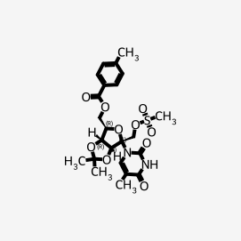 Cc1ccc(C(=O)OC[C@H]2O[C@](COS(C)(=O)=O)(n3cc(C)c(=O)[nH]c3=O)[C@@H]3OC(C)(C)O[C@@H]32)cc1